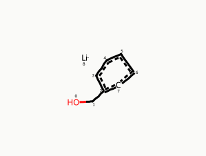 OCc1ccccc1.[Li]